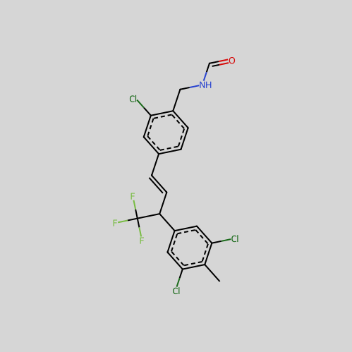 Cc1c(Cl)cc(C(/C=C/c2ccc(CNC=O)c(Cl)c2)C(F)(F)F)cc1Cl